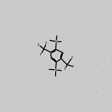 C[Si](C)(C)c1cc(C(F)(F)F)c([Si](C)(C)C)cc1C(F)(F)F